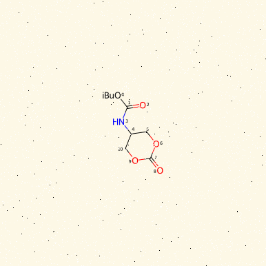 CC(C)COC(=O)NC1COC(=O)OC1